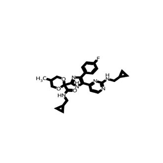 CC1COC(C(=O)NCC2CC2)(c2nc(-c3ccc(F)cc3)c(-c3ccnc(NCC4CC4)n3)[nH]2)OC1